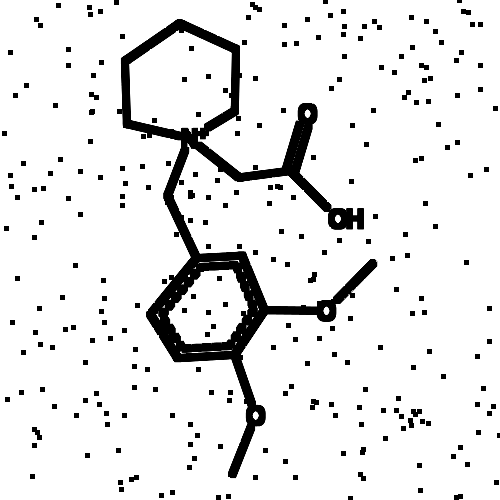 COc1ccc(C[N+]2(CC(=O)O)CCCCC2)cc1OC